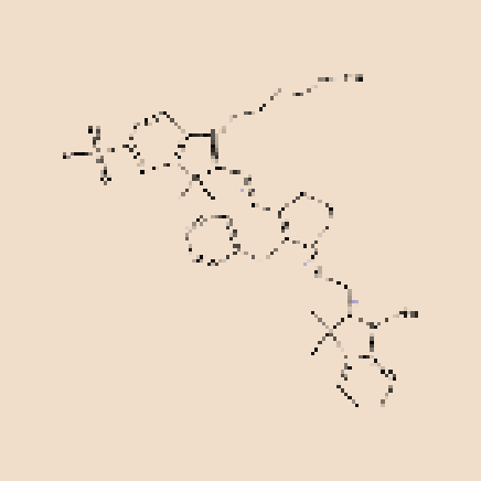 CCCCN1/C(=C/C=C2\CCCC(/C=C/C3=[N+](CCCCCC(C)(C)C)c4ccc(S(=O)(=O)[O-])cc4C3(C)C)=C2Oc2ccccc2)C(C)(C)c2ccccc21